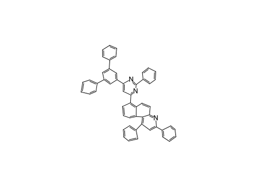 c1ccc(-c2cc(-c3ccccc3)cc(-c3cc(-c4cccc5c4ccc4nc(-c6ccccc6)cc(-c6ccccc6)c45)nc(-c4ccccc4)n3)c2)cc1